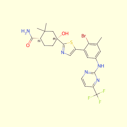 Cc1cc(Nc2nccc(C(F)(F)F)n2)cc(-c2cnc([C@@]3(O)CC[C@H](C(N)=O)C(C)(C)C3)s2)c1Br